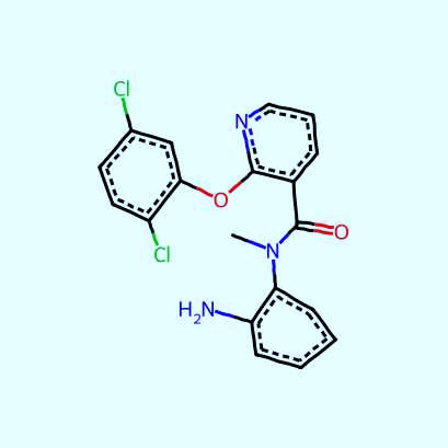 CN(C(=O)c1cccnc1Oc1cc(Cl)ccc1Cl)c1ccccc1N